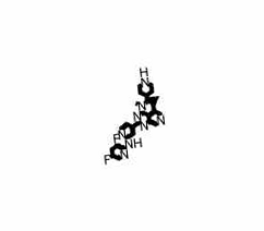 CN(CC1CCNCC1)c1nc(-c2ccnc(NC3=C(F)CC(F)C=N3)c2)nc2cncc(C3CC3)c12